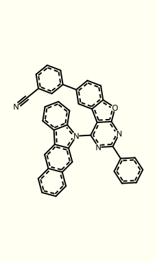 N#Cc1cccc(-c2ccc3oc4nc(-c5ccccc5)nc(-n5c6ccccc6c6cc7ccccc7cc65)c4c3c2)c1